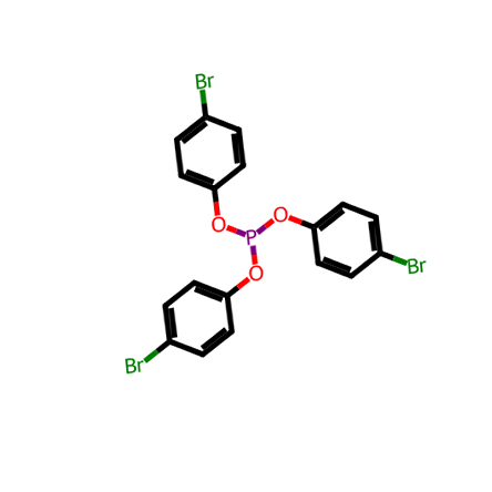 Brc1ccc(OP(Oc2ccc(Br)cc2)Oc2ccc(Br)cc2)cc1